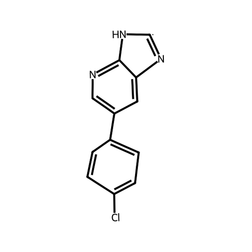 Clc1ccc(-c2cnc3[nH][c]nc3c2)cc1